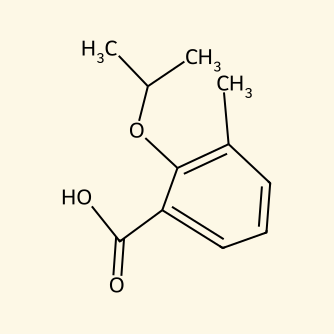 Cc1cccc(C(=O)O)c1OC(C)C